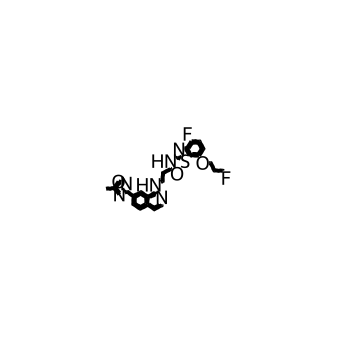 Cc1nc(-c2ccc3ccnc(NCCC(=O)Nc4nc5c(F)ccc(OCCCF)c5s4)c3c2)no1